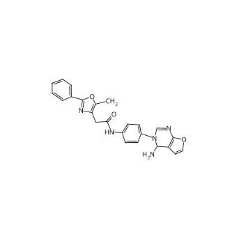 Cc1oc(-c2ccccc2)nc1CC(=O)Nc1ccc(N2C=Nc3occc3C2N)cc1